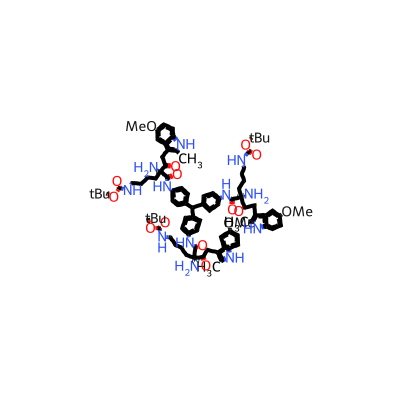 COc1ccc2[nH]c(C)c(CC(=O)[C@](N)(CCCCNC(=O)OC(C)(C)C)C(=O)Nc3ccc(C(c4ccc(NC(=O)[C@@](N)(CCCCNC(=O)OC(C)(C)C)C(=O)Cc5c(C)[nH]c6ccc(OC)cc56)cc4)c4ccc(NC(=O)[C@@](N)(CCCCNC(=O)OC(C)(C)C)C(=O)Cc5c(C)[nH]c6ccc(OC)cc56)cc4)cc3)c2c1